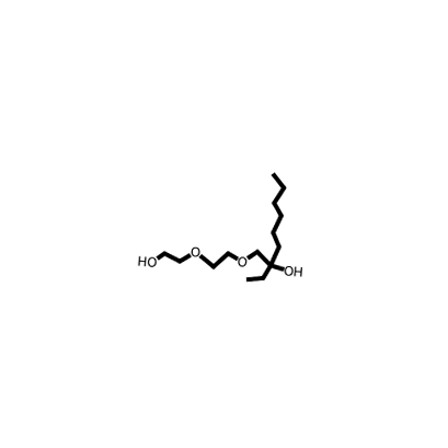 CCCCCCC(O)(CC)COCCOCCO